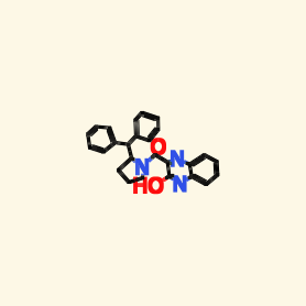 O=C(c1nc2ccccc2nc1O)N1CCCC1C(c1ccccc1)c1ccccc1